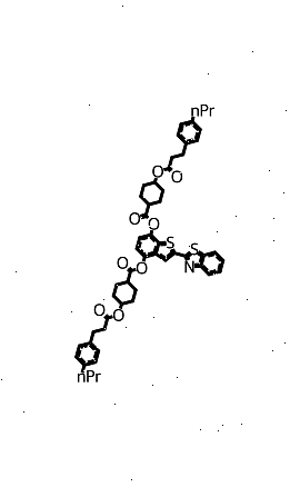 CCCc1ccc(CCC(=O)OC2CCC(C(=O)Oc3ccc(OC(=O)C4CCC(OC(=O)CCc5ccc(CCC)cc5)CC4)c4sc(-c5nc6ccccc6s5)cc34)CC2)cc1